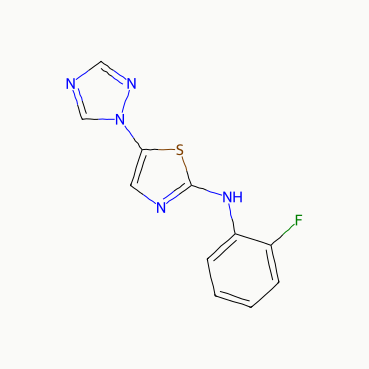 Fc1ccccc1Nc1ncc(-n2cncn2)s1